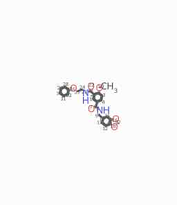 COc1ccc(C(=O)NCc2ccc3c(c2)OCO3)cc1C(=O)NCCOc1ccccc1